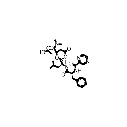 CC(C)C[C@H](NC(=O)[C@H](Cc1ccccc1)NC(=O)c1cnccn1)B1OC(=O)C[C@](CC(=O)O)(C(=O)N(C)C)O1